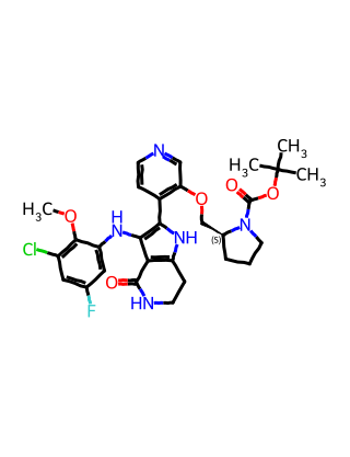 COc1c(Cl)cc(F)cc1Nc1c(-c2ccncc2OC[C@@H]2CCCN2C(=O)OC(C)(C)C)[nH]c2c1C(=O)NCC2